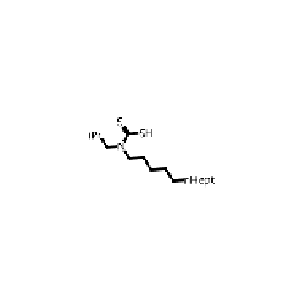 CCCCCCCCCCCCN(CC(C)C)C(=S)S